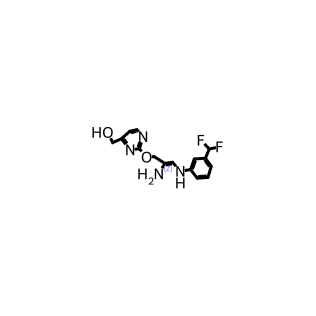 N/C(=C\Nc1cccc(C(F)F)c1)COc1nccc(CO)n1